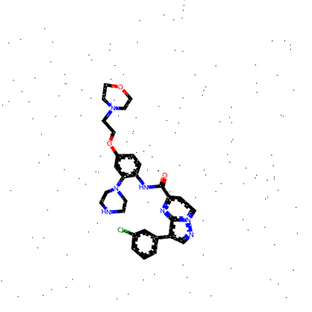 O=C(Nc1ccc(OCCN2CCOCC2)cc1N1CCNCC1)c1ccn2ncc(-c3cccc(Cl)c3)c2n1